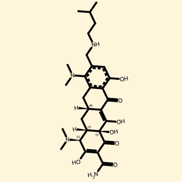 CC(C)CCNCc1cc(O)c2c(c1N(C)C)C[C@H]1C[C@H]3[C@H](N(C)C)C(O)=C(C(N)=O)C(=O)[C@@]3(O)C(O)=C1C2=O